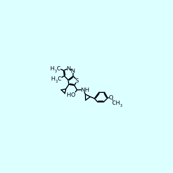 COc1ccc(C2CC2NC(O)c2sc3nnc(C)c(C)c3c2C2CC2)cc1